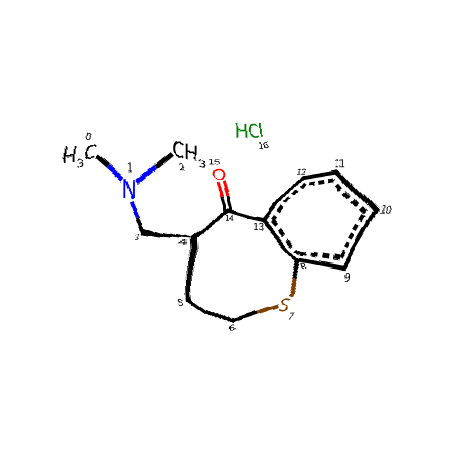 CN(C)C[C@@H]1CCSc2ccccc2C1=O.Cl